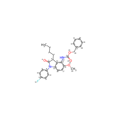 CCCCC1C(=O)N(c2ccc(F)cc2)c2ccc(OC)c(NC(=O)OCc3ccccc3)c21